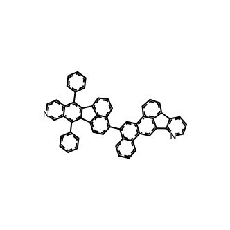 c1ccc(-c2c3c(c(-c4ccccc4)c4cnccc24)-c2ccc(-c4cc5c6cccc7c6c(cc5c5ccccc45)-c4ncccc4-7)c4cccc-3c24)cc1